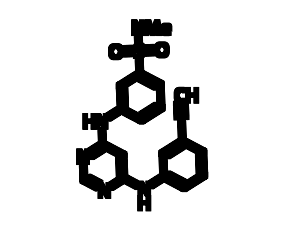 C#Cc1cccc(Nc2cc(Nc3cccc(S(=O)(=O)NC)c3)ncn2)c1